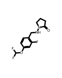 O=C1CCCN1NCc1ccc(OC(F)F)cc1F